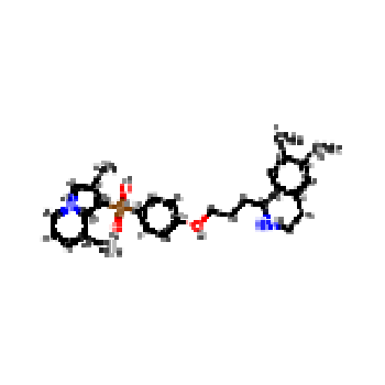 COc1cc2c(cc1OC)C(CCCOc1ccc(S(=O)(=O)c3c(C(C)C)cn4cccc(C)c34)cc1)NCC2